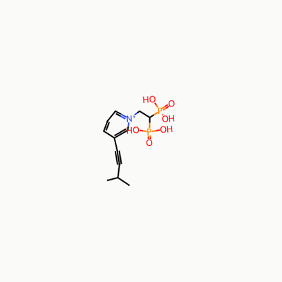 CC(C)C#Cc1ccc[n+](CC(P(=O)(O)O)P(=O)(O)O)c1